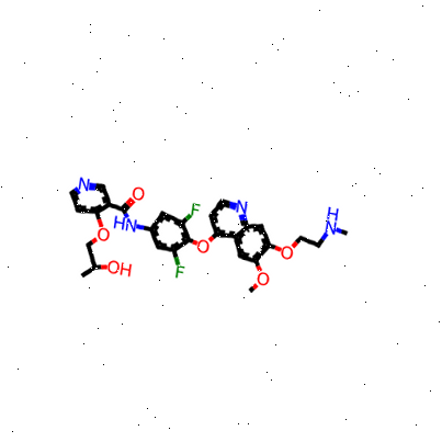 CNCCOc1cc2nccc(Oc3c(F)cc(NC(=O)c4cnccc4OCC(C)O)cc3F)c2cc1OC